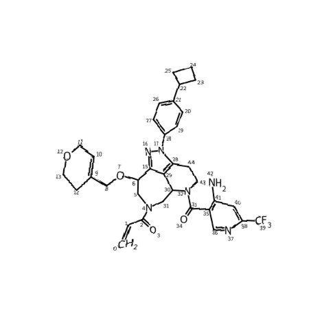 C=CC(=O)N1CC(OCC2=CCOCC2)c2nn(-c3ccc(C4CCC4)cc3)c3c2C(C1)N(C(=O)c1cnc(C(F)(F)F)cc1N)CC3